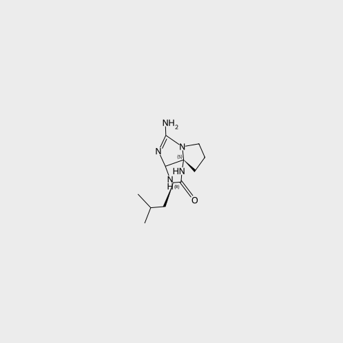 CC(C)C[C@H]1NC2N=C(N)N3CCC[C@@]23NC1=O